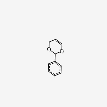 [c]1ccc(C2OC=CCO2)cc1